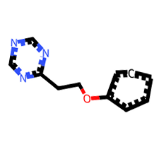 [c]1cccc(OCCc2ncncn2)c1